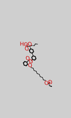 C=CC(=O)OCCCCCCCCCCOc1ccccc1C(=O)Oc1cccc(-c2ccc([C@@]3(C(=O)O)O[C@H]3CCC)cc2)c1